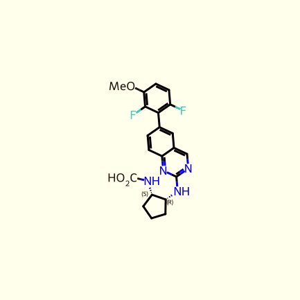 COc1ccc(F)c(-c2ccc3nc(N[C@@H]4CCC[C@@H]4NC(=O)O)ncc3c2)c1F